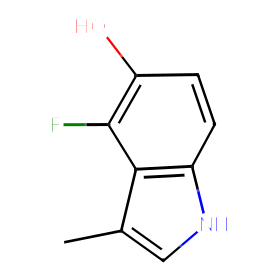 Cc1c[nH]c2ccc(O)c(F)c12